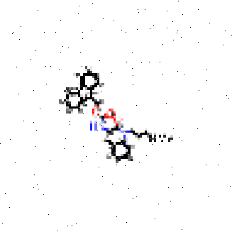 CNCCCNC(=O)[C@H](Cc1ccccc1)NC(=O)OCC1c2ccccc2-c2ccccc21